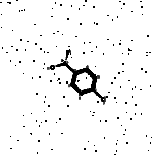 C[S@@+]([O-])c1ccc(Cl)nc1